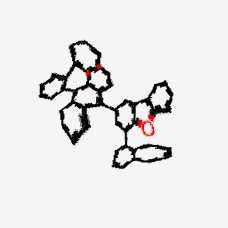 c1ccc(-c2ccccc2-c2c3ccccc3c(-c3cc(-c4cccc5ccccc45)c4oc5ccccc5c4c3)c3ccccc23)cc1